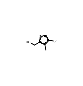 Cc1c(Br)csc1CO